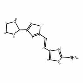 CC(=O)Nc1nc(C=Cc2cc(C3OCCO3)cs2)cs1